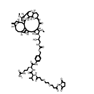 C=C1C[C@@H]2CC3[C@@H]4C[C@H](CC[C@@H]1O2)O[C@H](C[C@@H]1O[C@H](C[C@H](O)CNC(=O)OCc2ccc(NC(=O)[C@H](CCCNC(N)=O)NC(=O)[C@@H](NC(=O)CCOCCOCCC(=O)ON5C(=O)CCC5=O)C(C)C)cc2)[C@H](OC)[C@H]1CC(=O)C[C@H]1CC[C@@H]2OC5C[C@@H](O[C@]36C[C@@H](OC)[C@@H]5O6)[C@H]2O1)C4=C